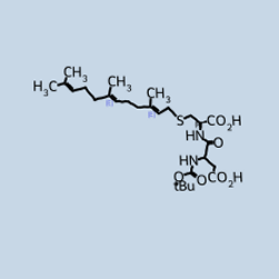 CC(C)=CCC/C(C)=C/CC/C(C)=C/CSC[C@H](NC(=O)C(CC(=O)O)NC(=O)OC(C)(C)C)C(=O)O